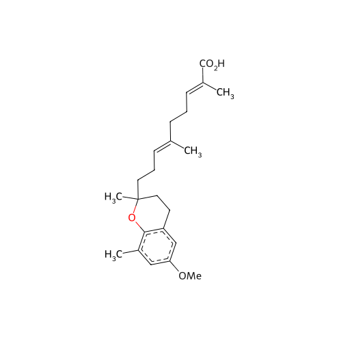 COc1cc(C)c2c(c1)CCC(C)(CC/C=C(\C)CC/C=C(\C)C(=O)O)O2